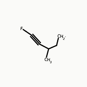 [CH2]CC(C)C#CF